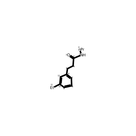 CCCNC(=O)CCc1cccc(CC)c1